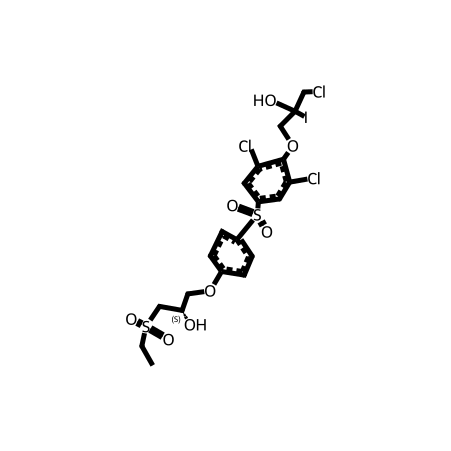 CCS(=O)(=O)C[C@@H](O)COc1ccc(S(=O)(=O)c2cc(Cl)c(OCC(O)(I)CCl)c(Cl)c2)cc1